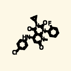 Cn1c(=O)cc(Nc2ccc(Cl)cc2)c2c(=O)n(C3CC3)c(=O)n(-c3ccccc3F)c21